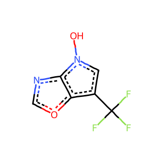 On1cc(C(F)(F)F)c2ocnc21